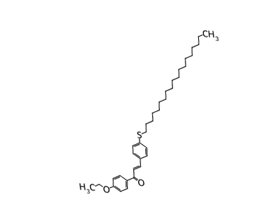 CCCCCCCCCCCCCCCCCCCSc1ccc(C=CC(=O)c2ccc(OCC)cc2)cc1